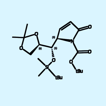 CC(C)(C)OC(=O)N1C(=O)C=C[C@@H]1[C@H](O[Si](C)(C)C(C)(C)C)[C@H]1COC(C)(C)O1